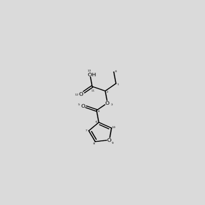 CCC(OC(=O)c1ccoc1)C(=O)O